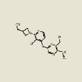 CCNc1ncc(Sc2ccnc(N3CC(CC#N)C3)c2Cl)nc1CO